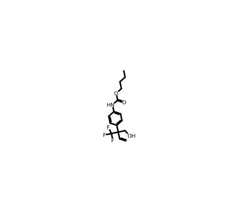 C=CC(CO)(c1ccc(NC(=O)OCCCC)cc1)C(F)(F)F